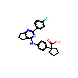 O=C(O)C1(c2ccc(Nc3nc(-c4ccc(F)cc4)nc4c3CCC4)cc2)CCCC1